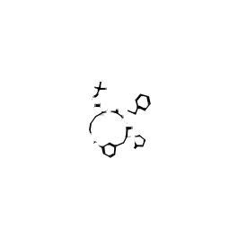 CC(F)(F)c1nnc([C@@H]2CCCCOc3cccc(c3)C[C@H](N3CCCC3=O)C(=O)N[C@@H](CCc3ccccc3)C(=O)N2)o1